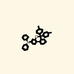 Cc1ccc(C2(c3ccc(C)cc3)Oc3cc(N(c4ccccc4)c4ccccc4)ccc3-c3ccccc32)cc1